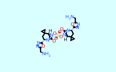 NCc1nnc([C@@H]2CC3(CC3)[C@@H]3CN2C(=O)N3OS(=O)(=O)ON2C(=O)N3C[C@H]2C2(CC2)C[C@H]3c2nnc(CN)o2)o1